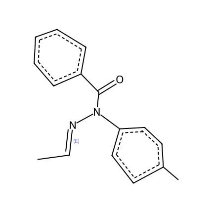 C/C=N/N(C(=O)c1ccccc1)c1ccc(C)cc1